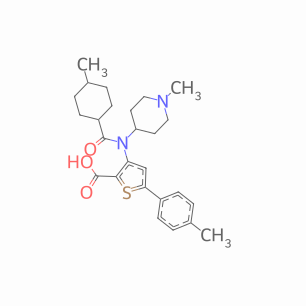 Cc1ccc(-c2cc(N(C(=O)C3CCC(C)CC3)C3CCN(C)CC3)c(C(=O)O)s2)cc1